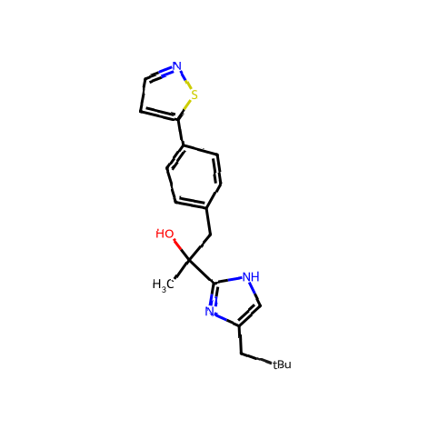 CC(C)(C)Cc1c[nH]c(C(C)(O)Cc2ccc(-c3ccns3)cc2)n1